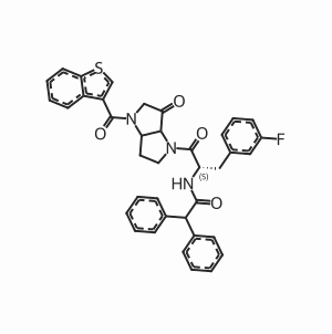 O=C(N[C@@H](Cc1cccc(F)c1)C(=O)N1CCC2C1C(=O)CN2C(=O)c1csc2ccccc12)C(c1ccccc1)c1ccccc1